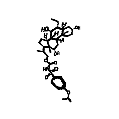 CC[C@H]1[C@@H](O)[C@@H]2[C@H](C[C@H](O)[C@]3(C)[C@@H]([C@H](C)COC(=O)NS(=O)(=O)c4ccc(OC(C)C)cc4)CC[C@@H]23)[C@@]2(C)CC[C@@H](O)C[C@@H]12